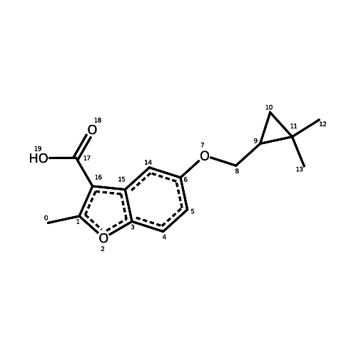 Cc1oc2ccc(OCC3CC3(C)C)cc2c1C(=O)O